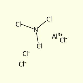 ClN(Cl)Cl.[Al+3].[Cl-].[Cl-].[Cl-]